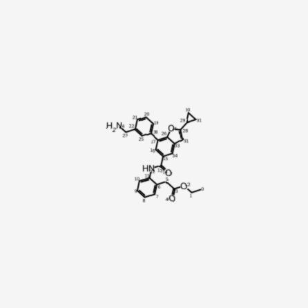 CCOC(=O)Cc1ccccc1NC(=O)c1cc(-c2cccc(CN)c2)c2oc(C3CC3)cc2c1